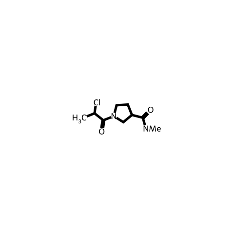 CNC(=O)C1CCN(C(=O)C(C)Cl)C1